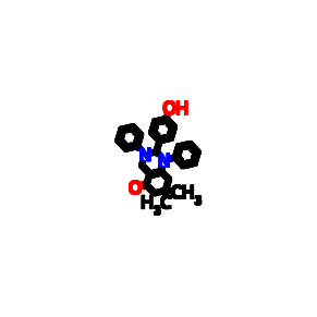 CC1(C)CC(=O)C2=C(C1)N(c1ccccc1)C(c1ccc(O)cc1)N(c1ccccc1)C2